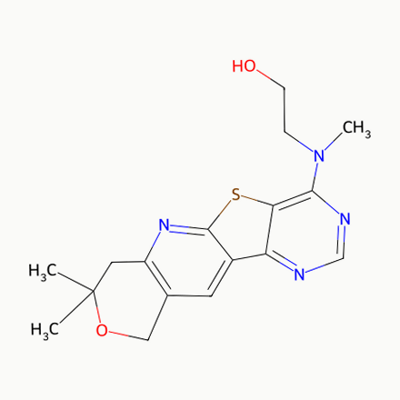 CN(CCO)c1ncnc2c1sc1nc3c(cc12)COC(C)(C)C3